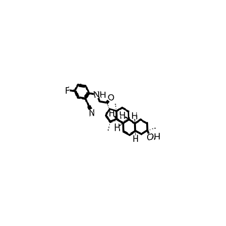 C[C@@H]1C[C@H](C(=O)CNc2ccc(F)cc2C#N)[C@@]2(C)CC[C@H]3[C@@H](CC[C@@H]4C[C@](C)(O)CC[C@@H]43)[C@H]12